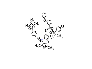 CC(C)[C@H](C(=O)O[C@H](C#N)c1cccc(Oc2ccccc2)c1)c1ccc(Cl)cc1.Cc1nn(C)c(Oc2ccccc2)c1/C=N/OCc1ccc(C(=O)OC(C)(C)C)cc1